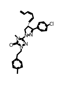 C=C/C=C\C=C\[C@H]1CN(c2nn(CCc3ccc(C)cc3)c(=O)n2C)N=C1c1ccc(Cl)cc1